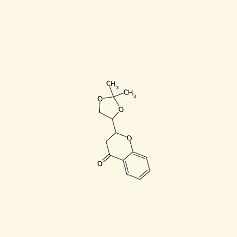 CC1(C)OCC(C2CC(=O)c3ccccc3O2)O1